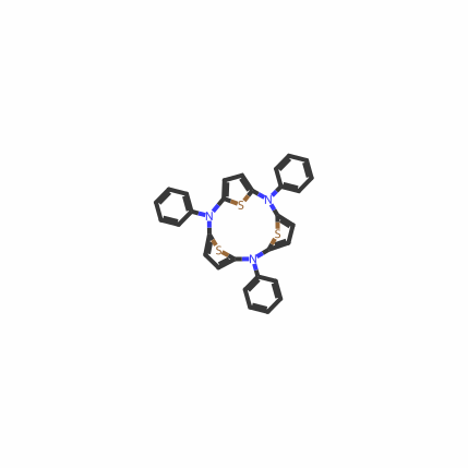 c1ccc(-n2c3ccc(s3)n(-c3ccccc3)c3ccc(s3)n(-c3ccccc3)c3ccc2s3)cc1